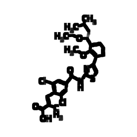 CCO[C@H](CC(C)C)c1cccc(-c2csc(NC(=O)c3cc(Cl)c(C=C(C)C(=O)O)c(Cl)c3)n2)c1OC